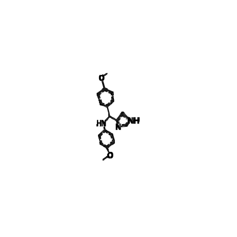 COc1ccc(NC(c2ccc(OC)cc2)c2c[nH]cn2)cc1